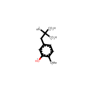 CCCC(Cc1ccc(OC)c(O)c1)(C(=O)O)C(=O)O